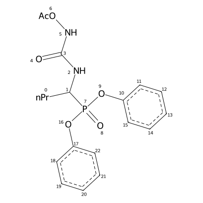 CCCC(NC(=O)NOC(C)=O)P(=O)(Oc1ccccc1)Oc1ccccc1